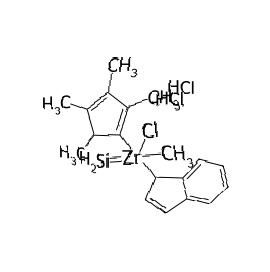 CC1=C(C)C(C)[C]([Zr]([CH3])(=[SiH2])([Cl])[CH]2C=Cc3ccccc32)=C1C.Cl.Cl